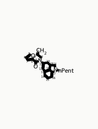 C=CCN(C(=O)c1ccco1)C1=Cc2cccc3c2C(C1)CN3CCCCC